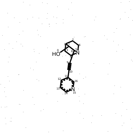 OC1C2CCN(CC2)C1C#Cc1cccnc1